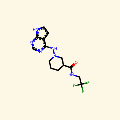 O=C(NCC(F)(F)F)C1CCCN(Nc2ncnc3[nH]ccc23)C1